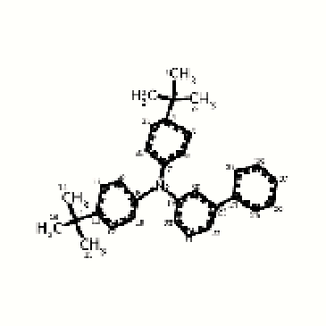 CC(C)(C)c1ccc(N(c2ccc(C(C)(C)C)cc2)c2cccc(-c3ccccc3)c2)cc1